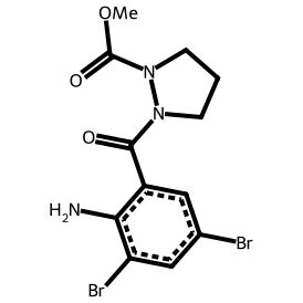 COC(=O)N1CCCN1C(=O)c1cc(Br)cc(Br)c1N